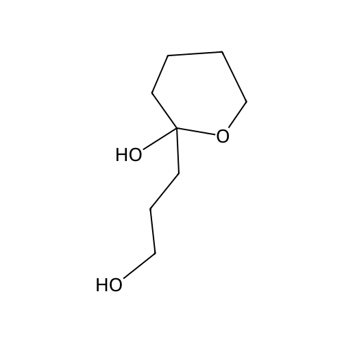 OCCCC1(O)CCCCO1